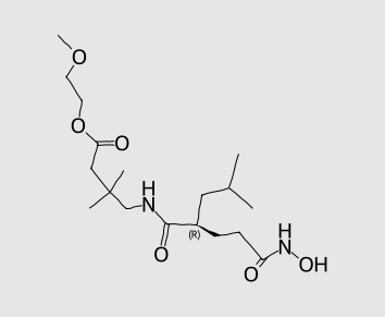 COCCOC(=O)CC(C)(C)CNC(=O)[C@H](CCC(=O)NO)CC(C)C